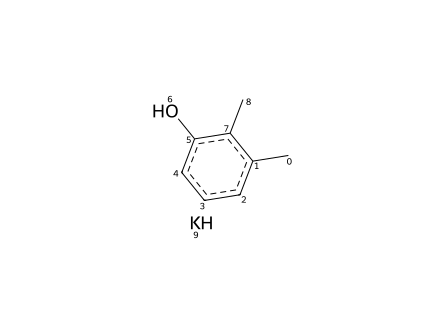 Cc1cccc(O)c1C.[KH]